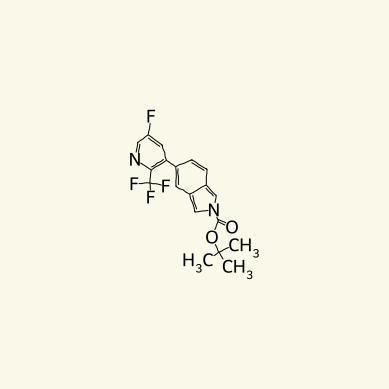 CC(C)(C)OC(=O)n1cc2ccc(-c3cc(F)cnc3C(F)(F)F)cc2c1